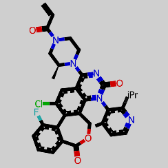 C=CC(=O)N1CCN(c2nc(=O)n(-c3c(C)ccnc3C(C)C)c3c4c(c(Cl)cc23)-c2c(F)cccc2C(=O)OC4)[C@@H](C)C1